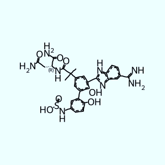 CC(C)(C(=O)N[C@H](CC(N)=O)C(N)=O)c1cc(-c2nc3cc(C(=N)N)ccc3[nH]2)c(O)c(-c2cc(NS(=O)O)ccc2O)c1